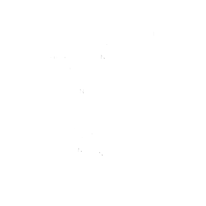 CCOC(=O)OC1=CN(C(=O)c2ccc(F)cc2)CC(C)(C)c2c1[nH]c1cc(OC(=O)N(C)c3ccccn3)ccc21